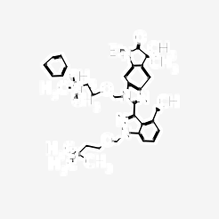 C#Cc1cccc2c1c(-c1nc3cc4c(cc3n1COCC[Si](C)(C)C)N(CC)C(=O)C4(C)C)nn2COCC[Si](C)(C)C.c1ccccc1